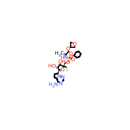 C[C@H](N[P@](=O)(OC[C@@]1(CF)O[C@@H](c2ccc3c(N)ncnn23)[C@H](O)[C@@H]1O)Oc1ccccc1)C(=O)OC1COC1